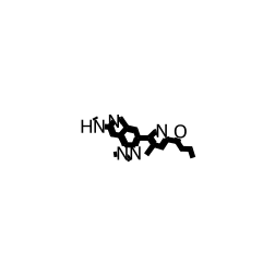 CCCC(=O)c1cc(C)c(-c2cc3cnc(NC)cc3c3c2ncn3C)cn1